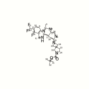 Cc1nc(N[C@H](C)c2cccc(C(F)F)c2F)c2cc(N3CC4(CCN(C(=O)OC(C)(C)C)C4)C3)ncc2n1